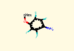 CCCCCCOc1c(F)c(F)c(N)c(F)c1F